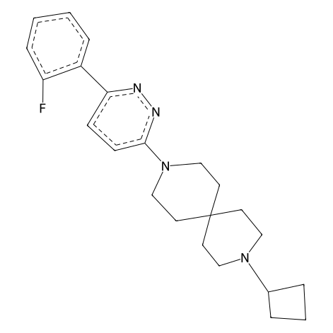 Fc1ccccc1-c1ccc(N2CCC3(CC2)CCN(C2CCC2)CC3)nn1